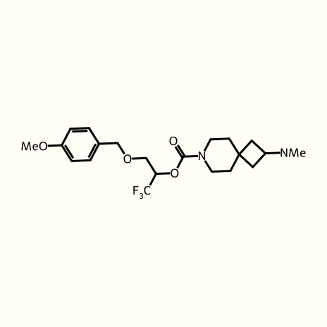 CNC1CC2(CCN(C(=O)OC(COCc3ccc(OC)cc3)C(F)(F)F)CC2)C1